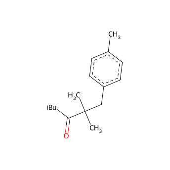 CCC(C)C(=O)C(C)(C)Cc1ccc(C)cc1